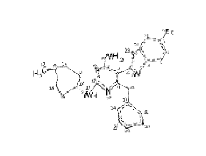 CCc1ccc2nc(-c3c(N)nc(N[C@H]4CC[C@H](C)CC4)nc3Cc3ccccc3)sc2c1